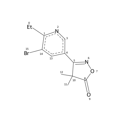 CCc1ncc(C2=NOC(=O)C2(C)C)cc1Br